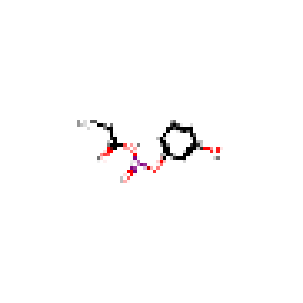 CCC(=O)O[PH](=O)Oc1cccc(O)c1